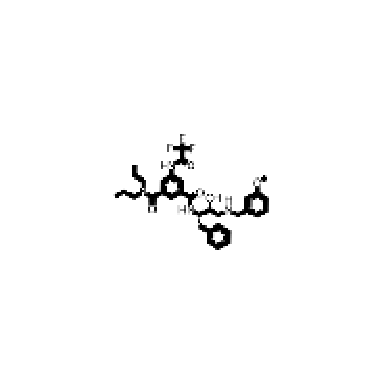 CCCN(CCC)C(=O)c1cc(NC(=O)C(F)(F)F)cc(C(=O)N[C@@H](Cc2ccccc2)[C@H](O)CNCc2cccc(OC)c2)c1